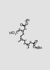 CC(C)OC(=O)CN(CCN(C)CCN(C)CC(=O)OC(C)(C)C)CC(=O)O